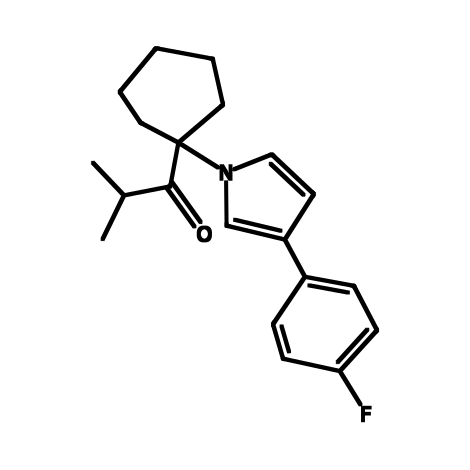 CC(C)C(=O)C1(n2ccc(-c3ccc(F)cc3)c2)CCCCC1